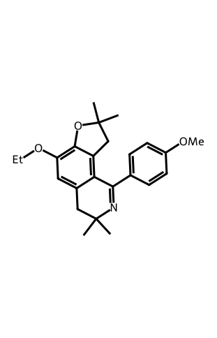 CCOc1cc2c(c3c1OC(C)(C)C3)C(c1ccc(OC)cc1)=NC(C)(C)C2